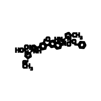 COC[C@H]1C[C@@H](c2ncc(-c3ccc4c(c3)COc3cc5c(ccc6nc([C@@H]7CC[C@H](C)N7C(=O)OCc7ccccc7)[nH]c65)cc3-4)[nH]2)N(C(=O)O)C1